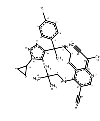 BC(NC/C=c1/c(NCC(C)(C)C)c(C#N)cn/c1=C(\C)C#C)(c1ccc(F)cc1)c1cn(C2CC2)nn1